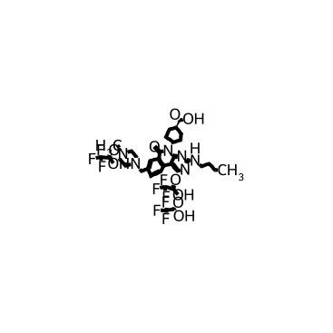 CCCCNc1ncc2c3ccc(CN4CCN(C)CC4)cc3c(=O)n([C@H]3CC[C@H](C(=O)O)CC3)c2n1.O=C(O)C(F)(F)F.O=C(O)C(F)(F)F.O=C(O)C(F)(F)F